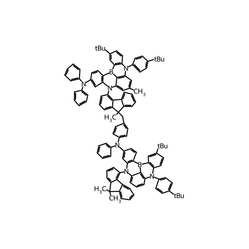 Cc1cc2c3c(c1)N(c1cccc4c1-c1ccccc1C4(C)Cc1ccc(N(c4ccccc4)c4ccc5c(c4)N(c4cccc6c4-c4ccccc4C6(C)C)c4cccc6c4B5c4cc(C(C)(C)C)ccc4N6c4ccc(C(C)(C)C)cc4)cc1)c1cc(N(c4ccccc4)c4ccccc4)ccc1B3c1cc(C(C)(C)C)ccc1N2c1ccc(C(C)(C)C)cc1